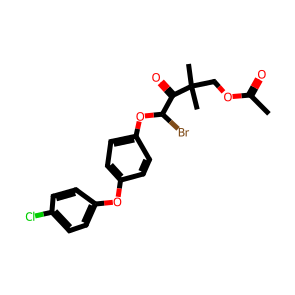 CC(=O)OCC(C)(C)C(=O)C(Br)Oc1ccc(Oc2ccc(Cl)cc2)cc1